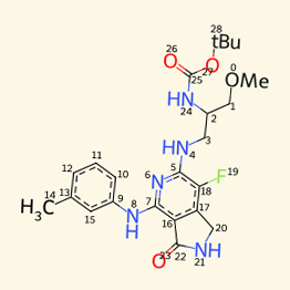 COCC(CNc1nc(Nc2cccc(C)c2)c2c(c1F)CNC2=O)NC(=O)OC(C)(C)C